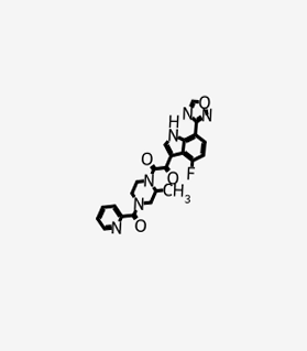 CC1CN(C(=O)c2ccccn2)CCN1C(=O)C(=O)c1c[nH]c2c(-c3ncon3)ccc(F)c12